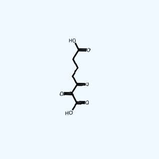 O=C(O)CCCC(=O)C(=O)C(=O)O